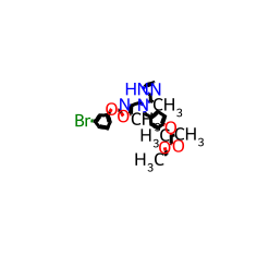 CCOC(=O)C(C)(C)Oc1ccc(CN(Cc2nc(Oc3cccc(Br)c3)oc2C)C(C)c2ncc[nH]2)cc1